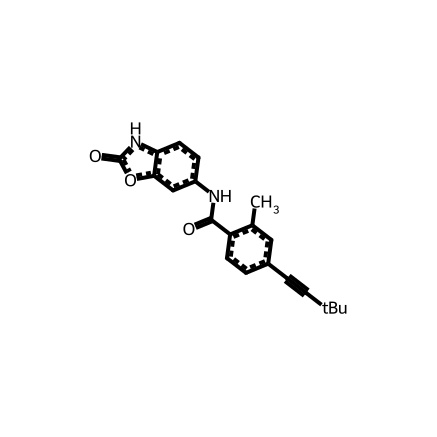 Cc1cc(C#CC(C)(C)C)ccc1C(=O)Nc1ccc2[nH]c(=O)oc2c1